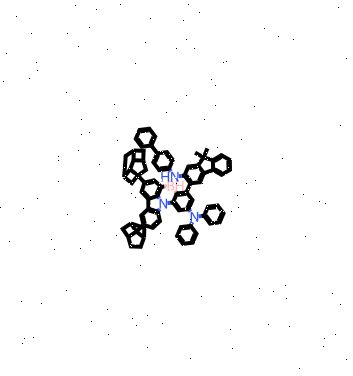 CC1(C)c2ccccc2-c2cc(-c3cc(N(c4ccccc4)c4ccccc4)cc4c3Bc3cc(C56CC7CC8CC(C5)C6C87)cc5c6cc(C78C9CCC7CC8C9)ccc6n-4c35)c(Nc3ccc(-c4ccccc4)cc3)cc21